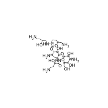 NCCC(O)CN[C@@H]1CC[C@@H](CN)O[C@@H]1OC1[C@@H](N)C[C@@H](NC(=O)[C@@H](O)CCN)[C@H](O[C@H]2O[C@H](CO)[C@@H](O)[C@H](N)[C@H]2O)[C@H]1O